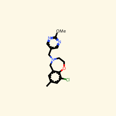 COc1ncc(CN2CCOc3c(Cl)cc(C)cc3C2)cn1